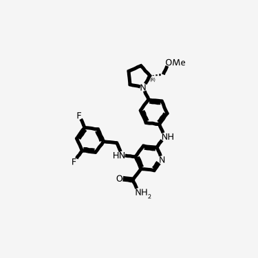 COC[C@H]1CCCN1c1ccc(Nc2cc(NCc3cc(F)cc(F)c3)c(C(N)=O)cn2)cc1